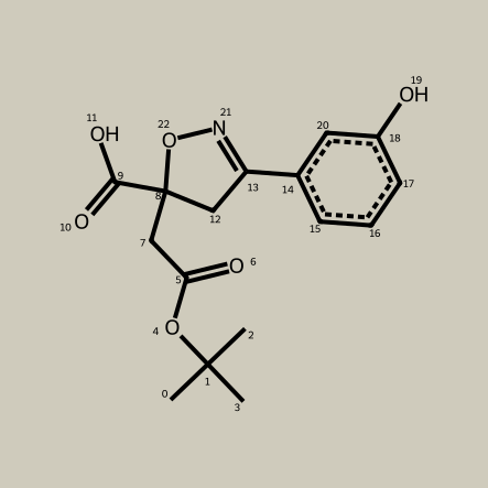 CC(C)(C)OC(=O)CC1(C(=O)O)CC(c2cccc(O)c2)=NO1